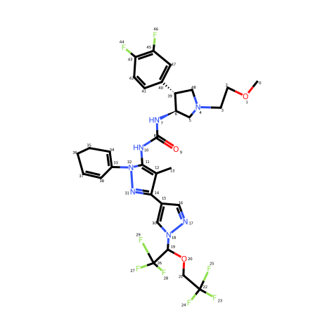 COCCN1C[C@@H](NC(=O)Nc2c(C)c(-c3cnn(C(OCC(F)(F)F)C(F)(F)F)c3)nn2C2=CCCC=C2)[C@H](c2ccc(F)c(F)c2)C1